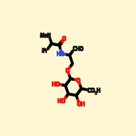 CNC(C(=O)NC(C=O)COC1OC(C(=O)O)C(O)C(O)C1O)C(C)C